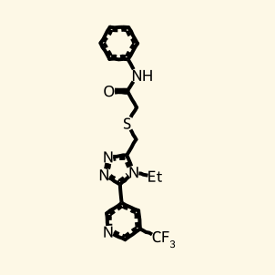 CCn1c(CSCC(=O)Nc2ccccc2)nnc1-c1cncc(C(F)(F)F)c1